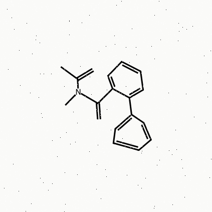 C=C(C)N(C)C(=C)c1ccccc1-c1ccccc1